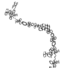 CC(CNC(=O)Oc1ccc(S(=O)(=O)c2ccc(OC(=O)NCCCCC(NC(=O)OCCC(F)(F)F)C(=O)OCC(Cl)(Cl)Cl)cc2)cc1)CC(C)(C)CCNC(=O)Oc1ccc(S(=O)(=O)c2ccc(OC(=O)NC(CCCCNC(=O)OCCC(F)(F)F)C(=O)OCC(Cl)(Cl)Cl)cc2)cc1